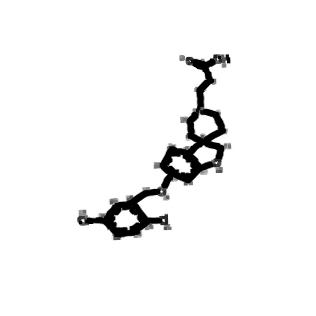 O=C(O)CCN1CCC2(CC1)COc1cc(OCc3cc(Cl)ccc3Cl)ccc12